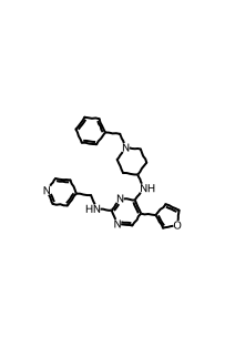 c1ccc(CN2CCC(Nc3nc(NCc4ccncc4)ncc3-c3ccoc3)CC2)cc1